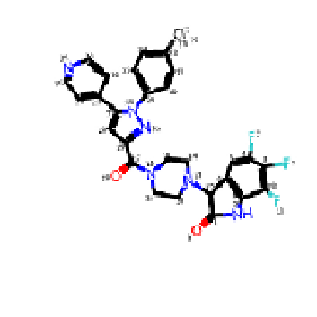 O=C1Nc2c(cc(F)c(F)c2F)C1N1CCN(C(=O)c2cc(-c3ccncc3)n(-c3ccc(C(F)(F)F)cc3)n2)CC1